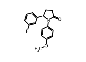 O=C1CC[C@H](c2cccc(F)c2)N1c1ccc(OC(F)(F)F)cc1